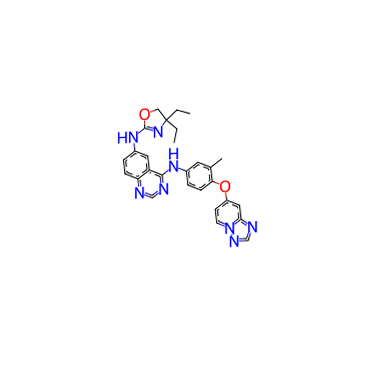 CCC1(CC)COC(Nc2ccc3ncnc(Nc4ccc(Oc5ccn6ncnc6c5)c(C)c4)c3c2)=N1